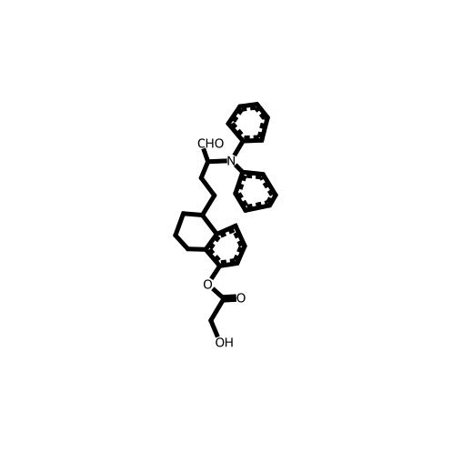 O=CC(CCC1CCCc2c(OC(=O)CO)cccc21)N(c1ccccc1)c1ccccc1